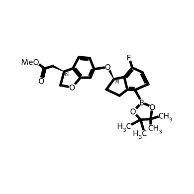 COC(=O)C[C@@H]1COc2cc(O[C@@H]3CCc4c(B5OC(C)(C)C(C)(C)O5)ccc(F)c43)ccc21